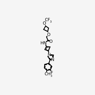 Cc1ccc(-c2cn(C34CC(NC(=O)CO[C@H]5C[C@@H](OC(F)(F)F)C5)(C3)C4)cn2)cc1F